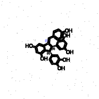 Oc1ccc(/C=C2/c3cc(O)cc(O)c3[C@@H](c3ccc(O)c(O)c3)[C@@H]2c2cc(O)cc(O)c2)cc1